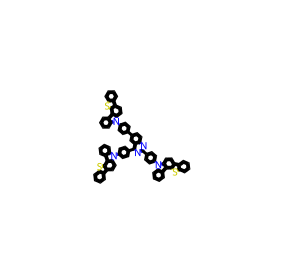 c1ccc2c(c1)sc1c2ccc2c1c1ccccc1n2-c1ccc(-c2ccc3nc(-c4ccc(-n5c6ccccc6c6c7sc8ccccc8c7ccc65)cc4)nc(-c4ccc(-n5c6ccccc6c6c7sc8ccccc8c7ccc65)cc4)c3c2)cc1